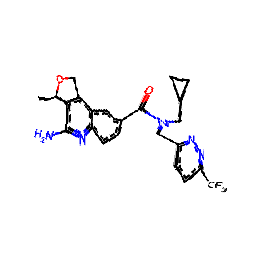 C[C@H]1OCc2c1c(N)nc1ccc(C(=O)N(Cc3ccc(C(F)(F)F)nn3)CC3CC3)cc21